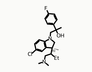 CCC(CN(C)C)[C@]1(C)CN(CC(C)(O)c2ccc(F)cc2)c2ccc(Cl)cc21